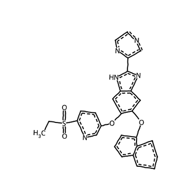 CCS(=O)(=O)c1ccc(Oc2cc3[nH]c(-c4cnccn4)nc3cc2Oc2cccc3ccccc23)cn1